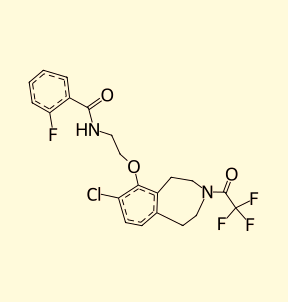 O=C(NCCOc1c(Cl)ccc2c1CCN(C(=O)C(F)(F)F)CC2)c1ccccc1F